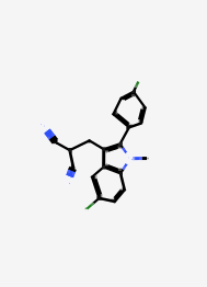 Cn1c(-c2ccc(Cl)cc2)c(CC(C#N)C#N)c2cc(Cl)ccc21